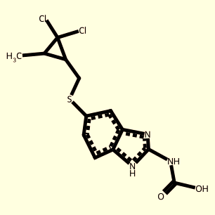 CC1C(CSc2ccc3[nH]c(NC(=O)O)nc3c2)C1(Cl)Cl